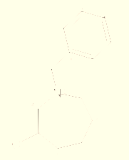 [O]C1CCCCN(Cc2ccccc2)C1